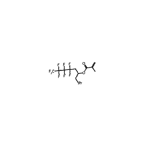 C=C(C)C(=O)OC(CC(C)C)CC(F)(F)C(F)(F)C(F)(F)C(F)(F)F